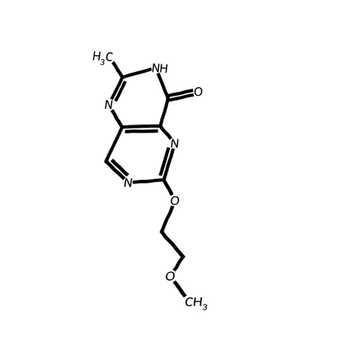 COCCOc1ncc2nc(C)[nH]c(=O)c2n1